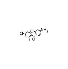 Cc1cc(Cl)ccc1C(=O)c1ccc(N)cc1Cl